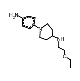 CCOCCNC1CCN(c2ccc(N)cc2)CC1